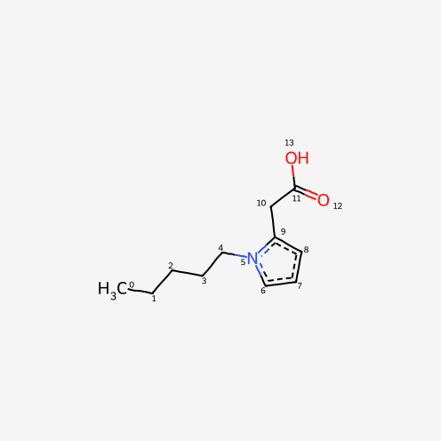 CCCCCn1cccc1CC(=O)O